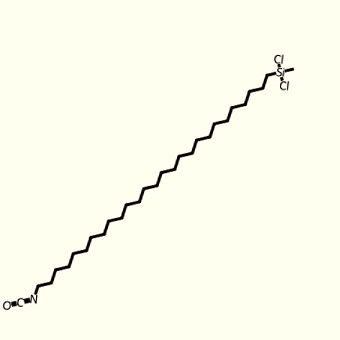 C[Si](Cl)(Cl)CCCCCCCCCCCCCCCCCCCCCCCCCCCN=C=O